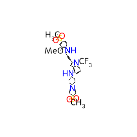 COc1cc(S(C)(=O)=O)ccc1NCC#Cc1cc2c(NC3CCC(N4CCC(S(C)(=O)=O)CC4)CC3)cccc2n1CC(F)(F)F